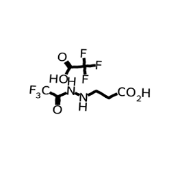 O=C(O)C(F)(F)F.O=C(O)CCNNC(=O)C(F)(F)F